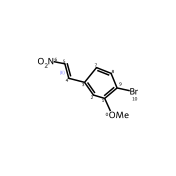 COc1cc(/C=C/[N+](=O)[O-])ccc1Br